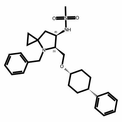 CS(=O)(=O)N[C@@H]1CC2(CC2)N(Cc2ccccc2)[C@@H]1CO[C@H]1CC[C@@H](c2ccccc2)CC1